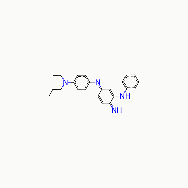 CCCN(CC)c1ccc(/N=C2\C=CC(=N)C(Nc3ccccc3)=C2)cc1